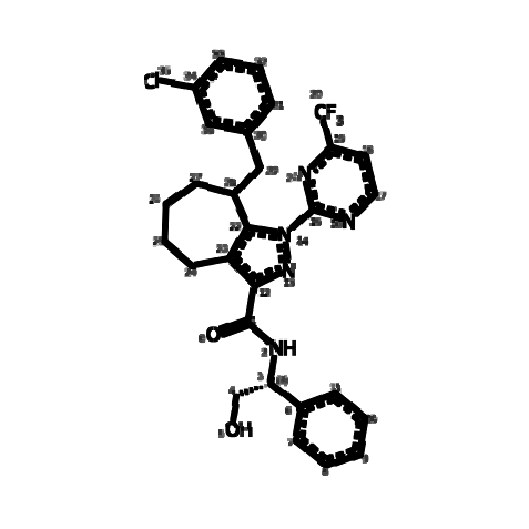 O=C(N[C@@H](CO)c1ccccc1)c1nn(-c2nccc(C(F)(F)F)n2)c2c1CCCCC2Cc1cccc(Cl)c1